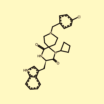 O=C1[C@@H](Cc2c[nH]c3ccccc23)NC(=O)C2(CCN(Cc3ccc(Cl)cc3)CC2)N1C1CCC1